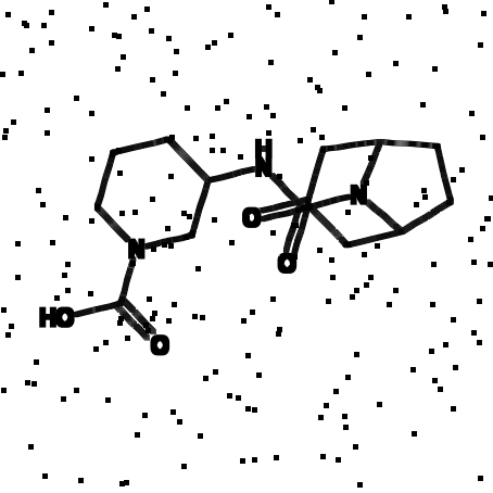 O=C1CC2CCC(C1)N2C(=O)NC1CCCN(C(=O)O)C1